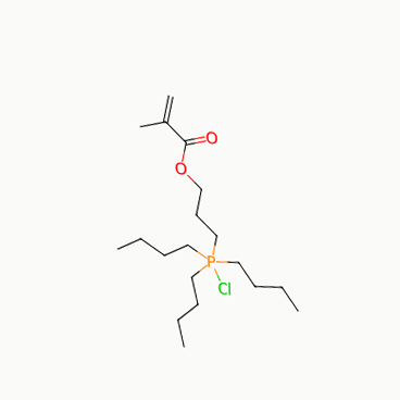 C=C(C)C(=O)OCCCP(Cl)(CCCC)(CCCC)CCCC